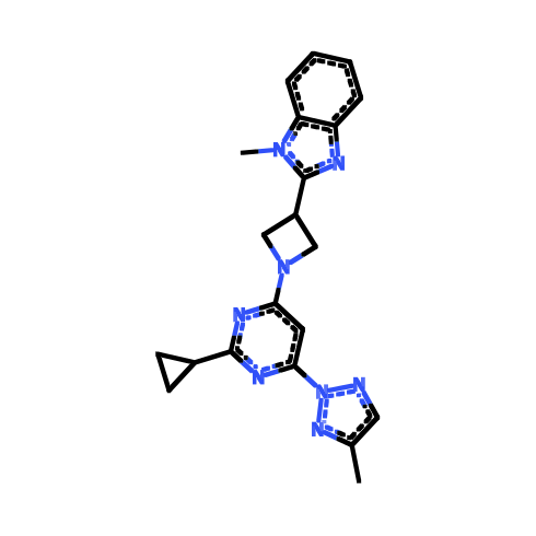 Cc1cnn(-c2cc(N3CC(c4nc5ccccc5n4C)C3)nc(C3CC3)n2)n1